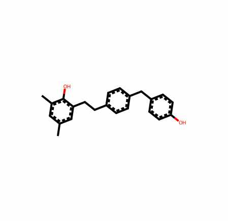 Cc1cc(C)c(O)c(CCc2ccc(Cc3ccc(O)cc3)cc2)c1